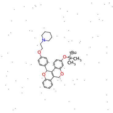 CC(C)(C)[Si](C)(C)Oc1ccc2c(c1)OCC1=C2C(c2ccc(OCCN3CCCCC3)cc2)Oc2ccccc21